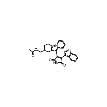 CC(=O)OCC1CCc2c(c(C3=C(c4coc5ccccc45)C(=O)NC3=O)c3ccccn23)C1